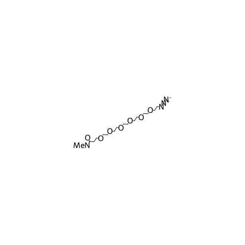 CNC(=O)CCOCCOCCOCCOCCOCCOCCN=[N+]=[N-]